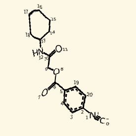 [C-]#[N+]c1ccc(C(=O)OCC(=O)NC2CCCCC2)cc1